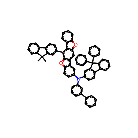 CC1(C)c2ccccc2-c2ccc(-c3c4oc5ccc(N(c6cccc(-c7ccccc7)c6)c6ccc7c(c6)C(c6ccccc6)(c6ccccc6)c6ccccc6-7)cc5c4cc4oc5ccccc5c34)cc21